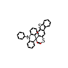 c1ccc(N2c3ccccc3C3(c4ccccc4Sc4cc5c(cc43)sc3ccccc35)c3ccccc32)cc1